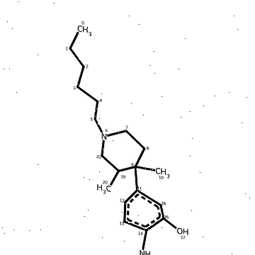 CCCCCCN1CCC(C)(c2ccc(N)c(O)c2)C(C)C1